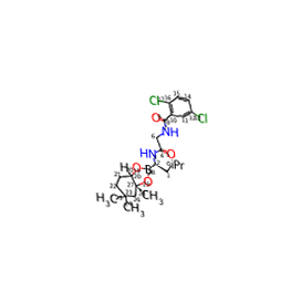 CC(C)C[C@H](NC(=O)CNC(=O)c1cc(Cl)ccc1Cl)B1O[C@H]2CCC(C)(C)C[C@@]2(C)O1